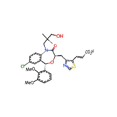 COc1cccc([C@H]2O[C@H](Cc3ncsc3/C=C/C(=O)O)C(=O)N(CC(C)(C)CO)c3ccc(Cl)cc32)c1OC